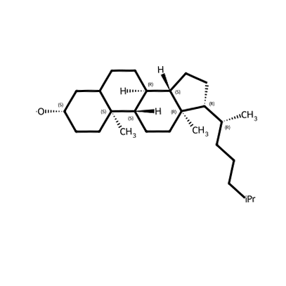 CC(C)CCC[C@@H](C)[C@H]1CC[C@H]2[C@@H]3CCC4C[C@@H]([O])CC[C@]4(C)[C@H]3CC[C@]12C